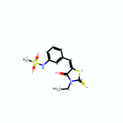 CS(=O)(=O)Nc1cccc(C=C2SC(=S)N(CC(=O)O)C2=O)c1